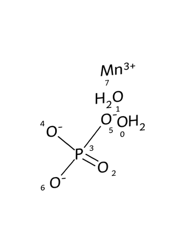 O.O.O=P([O-])([O-])[O-].[Mn+3]